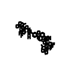 COC(=O)N[C@H](C(=O)N1CC(F)(F)C[C@H]1c1ncc(-c2ccc3c(c2)Oc2ccc(-c4cnc([C@@H]5CC(F)(F)CN5C(=O)[C@@H](NC(=O)OC)C(C)C)[nH]4)c4c2N3CCC4)[nH]1)C(C)C